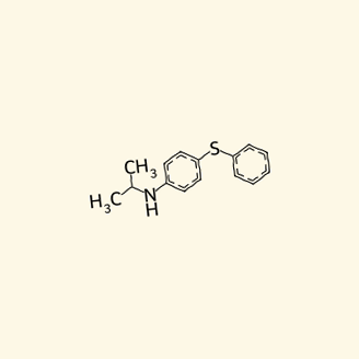 CC(C)Nc1ccc(Sc2ccccc2)cc1